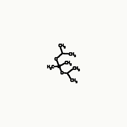 CC(C)O[Si](C)(C)OC(C)C